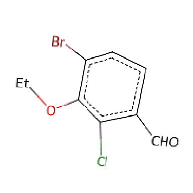 CCOc1c(Br)ccc(C=O)c1Cl